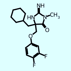 CN1C(=N)NC(COc2ccc(F)c(F)c2)(CC2CCCCC2)C1=O